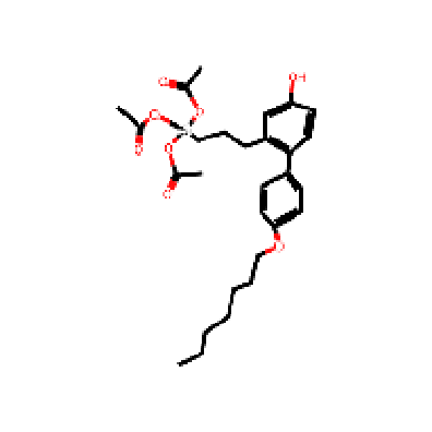 CCCCCCCOc1ccc(-c2ccc(O)cc2CCC[Si](OC(C)=O)(OC(C)=O)OC(C)=O)cc1